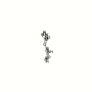 C[C@@H]1CC(CCO[C@H]2CC[C@H](N3C(=S)N(c4cnc(C#N)c(C(F)(F)F)c4)C(=O)C3(C)C)CC2)C[C@H](C)N1CC(=O)Nc1ccc(C2CCC(=O)NC2=O)cc1